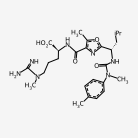 Cc1ccc(N(C)C(=O)N[C@@H](CC(C)C)c2nc(C(=O)N[C@@H](CCCN(C)C(=N)N)C(=O)O)c(C)o2)cc1